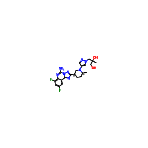 C[C@H]1CC[C@@H](c2nc3c4cc(F)cc(F)c4nc(N)n3n2)CN1c1cnn(CC(C)(O)CO)c1